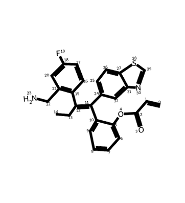 C=CC(=O)Oc1ccccc1/C(=C(\CC)c1ccc(F)cc1CN)c1ccc2scnc2c1